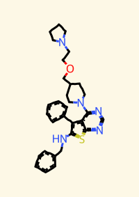 c1ccc(CNc2sc3ncnc(N4CCC(COCCN5CCCC5)CC4)c3c2-c2ccccc2)cc1